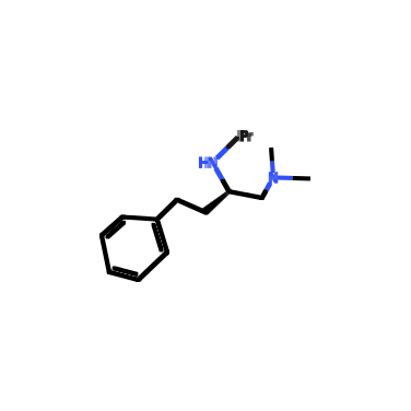 CC(C)N[C@H](CCc1ccccc1)CN(C)C